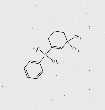 CC1(C)C=C([Si](C)(C)c2ccccc2)CCC1